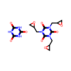 O=c1[nH]c(=O)[nH]c(=O)[nH]1.O=c1n(CC2CO2)c(=O)n(CC2CO2)c(=O)n1CC1CO1